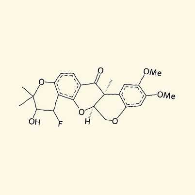 COc1cc2c(cc1OC)[C@]1(C)C(=O)c3ccc4c(c3O[C@@H]1CO2)C(F)C(O)C(C)(C)O4